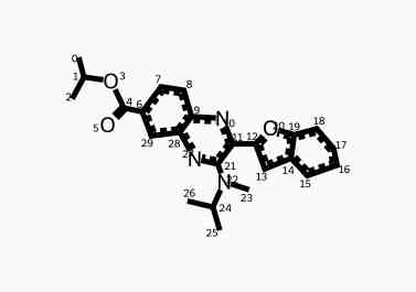 CC(C)OC(=O)c1ccc2nc(-c3cc4ccccc4o3)c(N(C)C(C)C)nc2c1